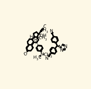 CC#C[C@]1(O)CC[C@H]2[C@@H]3CCC4=CC(=O)CCC4=C3[C@@H](c3ccc(N(C)C)cc3)C[C@@]21C.N#Cc1ccc(C(c2ccc(C#N)cc2)n2cncn2)cc1